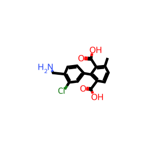 Cc1ccc(C(=O)O)c(-c2ccc(CN)c(Cl)c2)c1C(=O)O